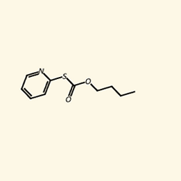 CCCCOC(=O)Sc1ccccn1